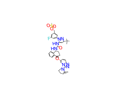 C[C@H]1CCCCN1c1nnc2ccc(O[C@@H]3CCC(NC(=O)Nc4cc(C(C)(C)C)nn4-c4cc(F)cc(COS(C)(=O)=O)c4)c4ccccc43)cn12